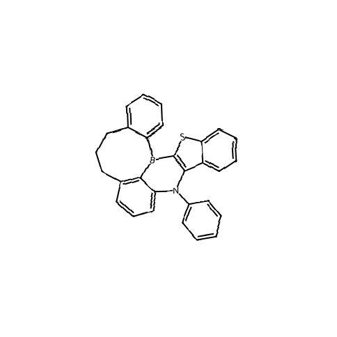 c1ccc(N2c3cccc4c3B(c3ccccc3CCC4)c3sc4ccccc4c32)cc1